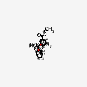 CCOC(=O)c1cccc(C(O)C2CC3CCC(C2)N3C(=O)OC(C)(C)C)c1